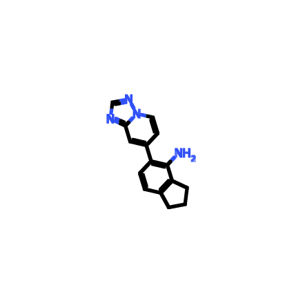 Nc1c(-c2ccn3ncnc3c2)ccc2c1CCC2